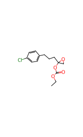 CCOC(=O)OC1(CCCc2ccc(Cl)cc2)CO1